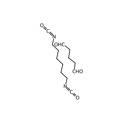 O=C=NCCCCCCN=C=O.O=CCCCC=O